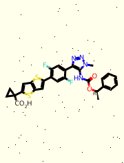 C[C@@H](OC(=O)Nc1c(-c2cc(F)c(-c3cc4sc(C5(C(=O)O)CC5)cc4s3)cc2F)nnn1C)c1ccccc1